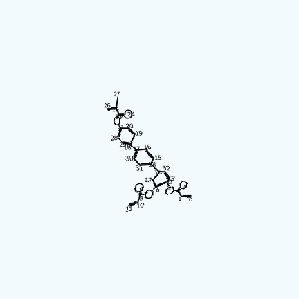 C=CC(=O)OC1=C(OC(=O)C=C)CC(c2ccc(-c3ccc(OC(=O)C(=C)C)cc3)cc2)C=C1